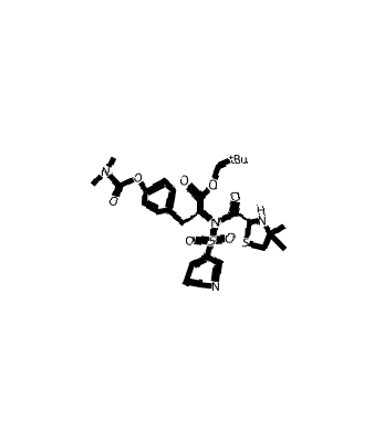 CN(C)C(=O)Oc1ccc(C[C@@H](C(=O)OCC(C)(C)C)N(C(=O)[C@H]2NC(C)(C)CS2)S(=O)(=O)c2cccnc2)cc1